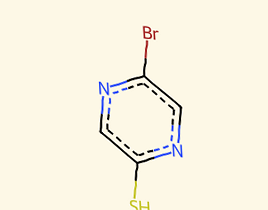 Sc1cnc(Br)cn1